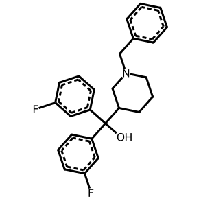 OC(c1cccc(F)c1)(c1cccc(F)c1)C1CCCN(Cc2ccccc2)C1